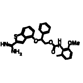 COc1cccc(C)c1NC(=O)OCC(Oc1cccc2sc(C(=N)N)cc12)c1ccccc1